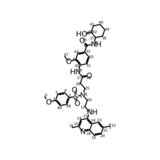 COc1ccc(S(=O)(=O)N(CCNc2cc(C)nc3ccc(I)cc23)CCC(=O)Nc2ccc(C(=O)NC3CCCC[C@@H]3O)cc2OC)cc1